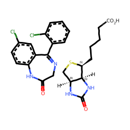 O=C(O)CCCC[C@@H]1SC[C@@H]2NC(=O)N[C@@H]21.O=C1CN=C(c2ccccc2Cl)c2cc(Cl)ccc2N1